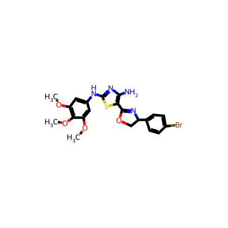 COc1cc(Nc2nc(N)c(C3=NC(c4ccc(Br)cc4)CO3)s2)cc(OC)c1OC